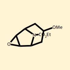 CCOC(=O)N1C2CC(OC)CC1C1OC12